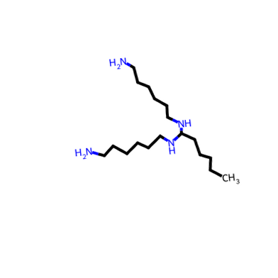 CCCCCC(NCCCCCCN)NCCCCCCN